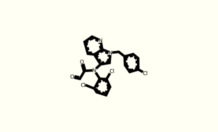 O=CC(=O)N(c1c(Cl)cccc1Cl)c1cn(Cc2ccc(Cl)cc2)c2ncccc12